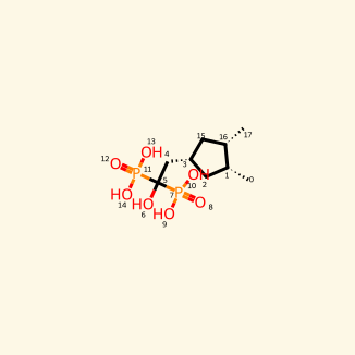 C[C@@H]1C[C@H](CC(O)(P(=O)(O)O)P(=O)(O)O)C[C@@H]1C